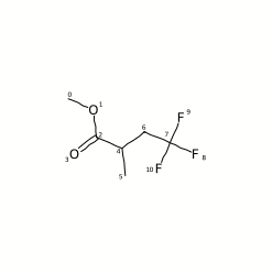 COC(=O)C(C)CC(F)(F)F